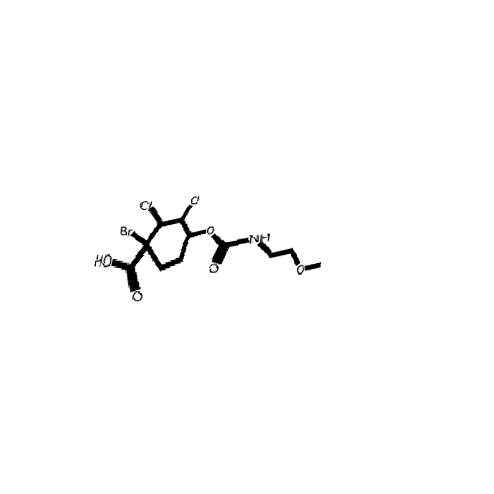 COCCNC(=O)OC1CCC(Br)(C(=O)O)C(Cl)C1Cl